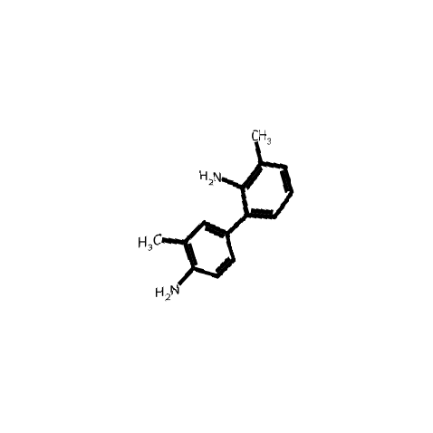 Cc1cc(-c2cccc(C)c2N)ccc1N